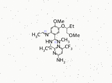 C/C=N/c1cc(OC)c(OC(CC)COC)cc1/C(=N\C)N[C@H](C)c1nc(N)cc(C(F)(F)F)n1